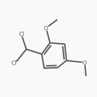 COc1ccc(C(Cl)Cl)c(OC)c1